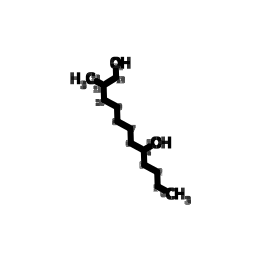 CCCCC(O)CCCCCC(C)CO